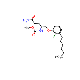 CC(C)(C)OC(=O)NC(CCC(N)=O)COc1cccc(CCCCCC(=O)O)c1F